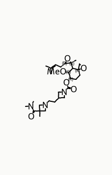 CO[C@H]1C([C@@]2(C)O[C@@H]2CC=C(C)C)[C@]2(CC[C@H]1OC(=O)N1CC(CCN3CC(C)(C(=O)N(C)C)C3)C1)CO2